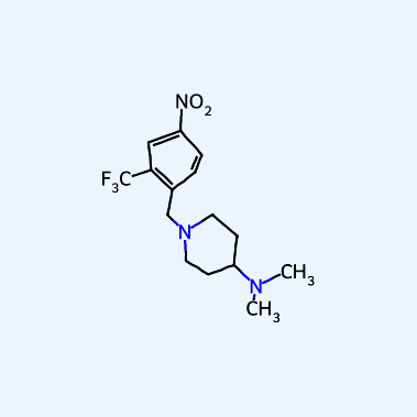 CN(C)C1CCN(Cc2ccc([N+](=O)[O-])cc2C(F)(F)F)CC1